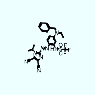 CCN(Cc1ccccc1)c1ccc(N=Nc2nc(C#N)c(C#N)n2C(C)C)c(NS(=O)(=O)C(F)(F)F)c1